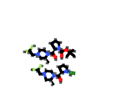 C[C@@H]1CN(CC(F)F)CCN1C(=O)[C@@H]1CCCN1.C[C@@H]1CN(CC(F)F)CCN1C(=O)[C@@H]1CCCN1C(=O)OC(C)(C)C.Cl